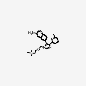 Cc1cccc(-c2ncn(COCC[Si](C)(C)C)c2-c2ccc3ncc(N)cc3c2)n1